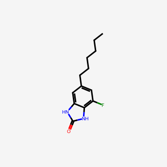 CCCCCCc1cc(F)c2[nH]c(=O)[nH]c2c1